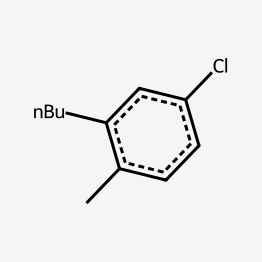 CCCCc1cc(Cl)ccc1C